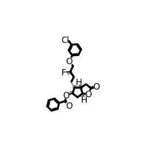 O=C1C[C@@H]2[C@@H](CC[C@@H](F)COc3cccc(Cl)c3)[C@H](OC(=O)c3ccccc3)C[C@@H]2O1